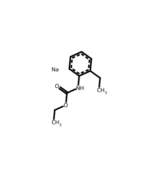 CCOC(=O)Nc1ccccc1CC.[Na]